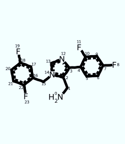 NCc1c(-c2ccc(F)cc2F)ncn1Cc1cc(F)ccc1F